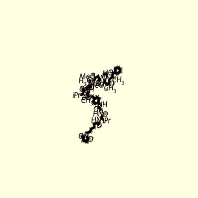 CC[C@H](C)[C@@H]([C@@H](CC(=O)N1CCC[C@H]1[C@H](OC)[C@@H](C)C(=O)C[C@H](C)[C@@H](O)c1ccccc1)OC)N(C)C(=O)CNC(=O)C(C(C)C)N(C)C(=O)OCc1ccc(NC(=O)CNC(=O)C(NC(=O)CCCCCN2C(=O)C=CC2=O)C(C)C)cc1